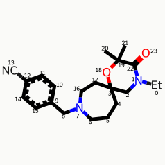 CCN1CC2(CCCN(Cc3ccc(C#N)cc3)CC2)OC(C)(C)C1=O